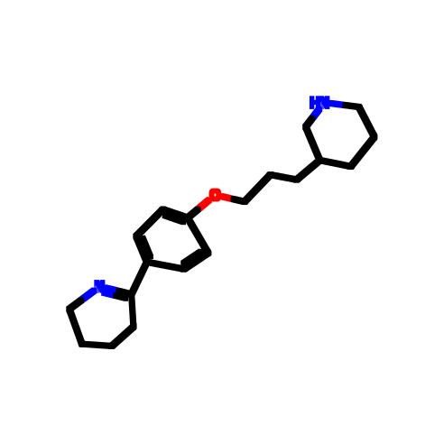 c1cc(C2=NCCCC2)ccc1OCCCC1CCCNC1